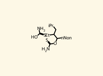 CCCCCCCCCC(OC(N)=S)C(CC)CC(C)C.NC(O)=S